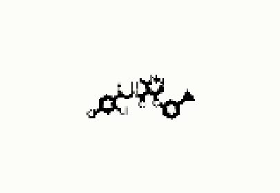 Cc1nncc(Oc2cccc(C3CC3)c2)c1C(=O)NCC(F)c1ccc(Cl)cc1Cl